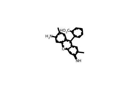 Cc1cc2c(-c3ccccc3C(=O)O)c3cc(C)c(=N)cc-3oc2cc1N